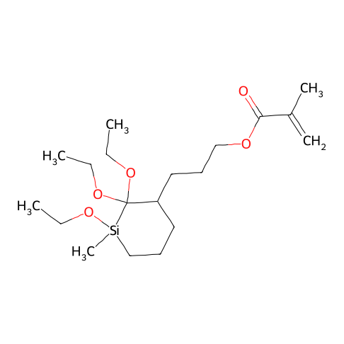 C=C(C)C(=O)OCCCC1CCC[Si](C)(OCC)C1(OCC)OCC